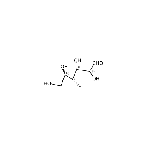 O=C[C@H](O)[C@@H](O)[C@H](F)[C@H](O)CO